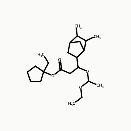 CCOC(C)OC(CC(=O)OC1(CC)CCCC1)C1CC2CC1C(C)C2C